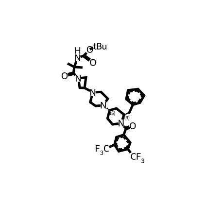 CC(C)(C)OC(=O)NC(C)(C)C(=O)N1CC(N2CCN([C@H]3CCN(C(=O)c4cc(C(F)(F)F)cc(C(F)(F)F)c4)[C@H](Cc4ccccc4)C3)CC2)C1